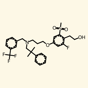 CC(C)(CN(CCCOc1cc(F)c(CCO)c(S(C)(=O)=O)c1)Cc1cccc(C(F)(F)F)c1)c1ccccc1